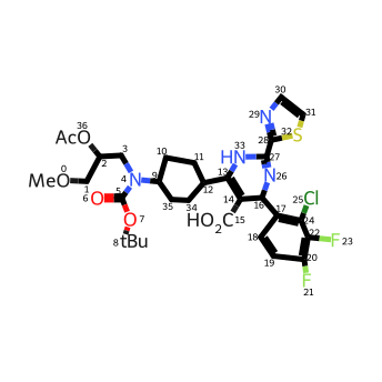 COCC(CN(C(=O)OC(C)(C)C)C1CCC(C2=C(C(=O)O)C(c3ccc(F)c(F)c3Cl)N=C(c3nccs3)N2)CC1)OC(C)=O